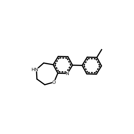 Cc1cccc(-c2ccc3c(n2)OCCNC3)c1